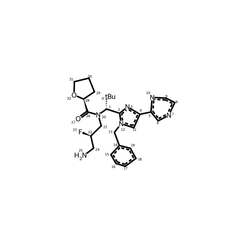 CC(C)(C)[C@H](c1nc(-c2cnccn2)cn1Cc1ccccc1)N(C[C@H](F)CN)C(=O)[C@@H]1CCCO1